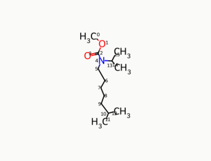 COC(=O)N(CCCCCC(C)C)C(C)C